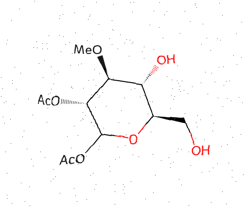 CO[C@H]1[C@H](O)[C@@H](CO)OC(OC(C)=O)[C@@H]1OC(C)=O